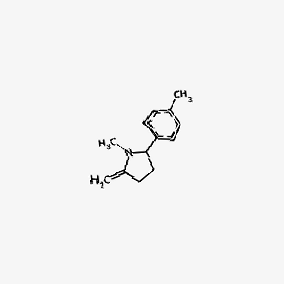 C=C1CCC(c2ccc(C)cc2)N1C